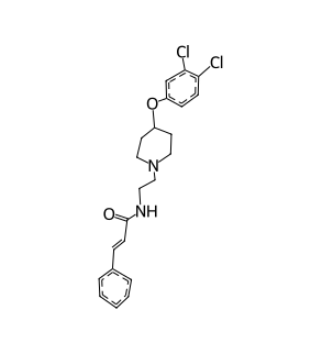 O=C(C=Cc1ccccc1)NCCN1CCC(Oc2ccc(Cl)c(Cl)c2)CC1